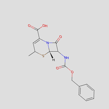 CC1C=C(C(=O)O)N2C(=O)C(NC(=O)OCc3ccccc3)[C@@H]2S1